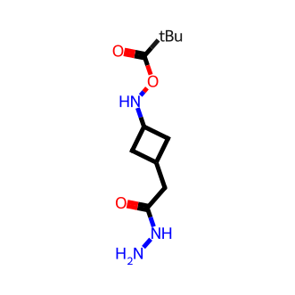 CC(C)(C)C(=O)ONC1CC(CC(=O)NN)C1